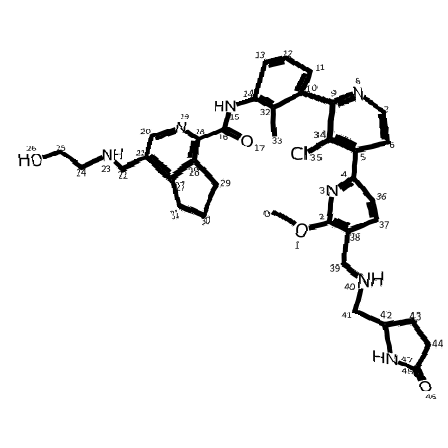 COc1nc(-c2ccnc(-c3cccc(NC(=O)c4ncc(CNCCO)c5c4CCC5)c3C)c2Cl)ccc1CNCC1CCC(=O)N1